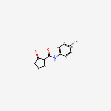 O=C1CCCC1C(=O)Nc1ccc(F)cc1